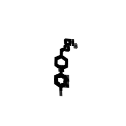 COCC1CCN(c2ccc(I)nn2)CC1